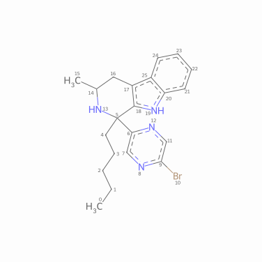 CCCCCC1(c2cnc(Br)cn2)NC(C)Cc2c1[nH]c1ccccc21